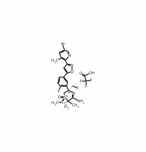 CN=[S@@]1(=O)C[C@@](CF)(c2cc(-c3cc(-c4ncc(Br)cc4C)no3)ccc2F)N=C(N)C1(C)C.O=C(O)C(F)(F)F